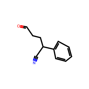 N#CC(CCC=O)c1ccccc1